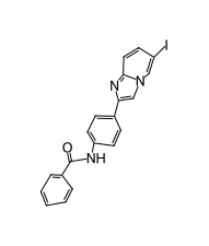 O=C(Nc1ccc(-c2cn3cc(I)ccc3n2)cc1)c1ccccc1